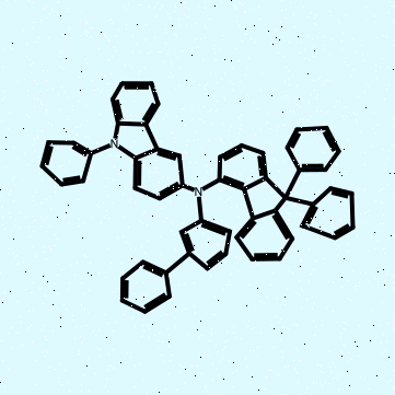 c1ccc(-c2cccc(N(c3ccc4c(c3)c3ccccc3n4-c3ccccc3)c3cccc4c3-c3ccccc3C4(c3ccccc3)c3ccccc3)c2)cc1